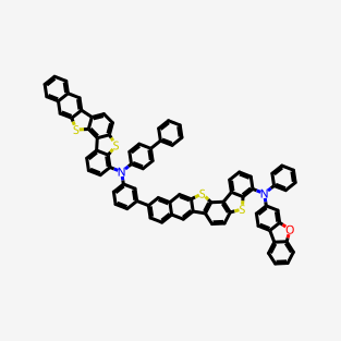 c1ccc(-c2ccc(N(c3cccc(-c4ccc5cc6c(cc5c4)sc4c6ccc5sc6c(N(c7ccccc7)c7ccc8c(c7)oc7ccccc78)cccc6c54)c3)c3cccc4c3sc3ccc5c6cc7ccccc7cc6sc5c34)cc2)cc1